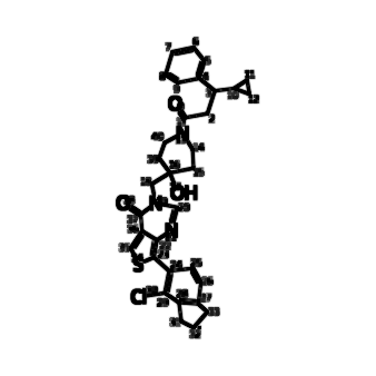 O=C(CC(c1ccccc1)C1CC1)N1CCC(O)(Cn2cnc3c(-c4ccc5c(c4Cl)C[CH]C5)scc3c2=O)CC1